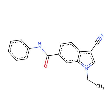 CCn1cc(C#N)c2ccc(C(=O)Nc3ccccc3)cc21